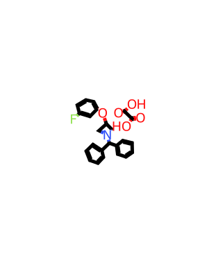 Fc1cccc(OC2CN(C(c3ccccc3)c3ccccc3)C2)c1.O=C(O)C(=O)O